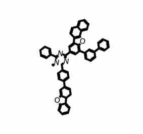 C=N/C(=N\C(=N/Cc1ccc(C2=CCC3C(=C2)Oc2ccccc23)cc1)c1cc(-c2cccc(-c3ccccc3)c2)c2oc3c4ccccc4ccc3c2c1)C1=CCCC=C1